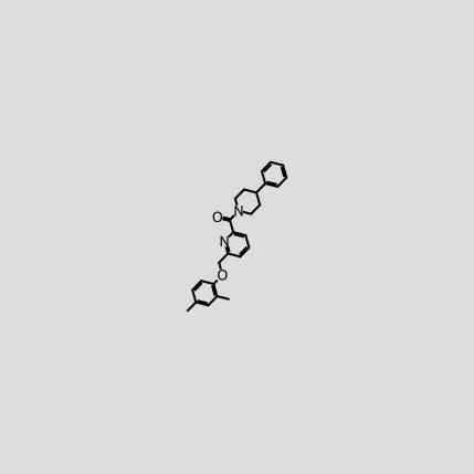 Cc1ccc(OCc2cccc(C(=O)N3CCC(c4ccccc4)CC3)n2)c(C)c1